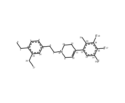 CCc1ccc(CCN2CC=C(c3cc(F)c(F)c(F)c3C)CC2)cc1CC